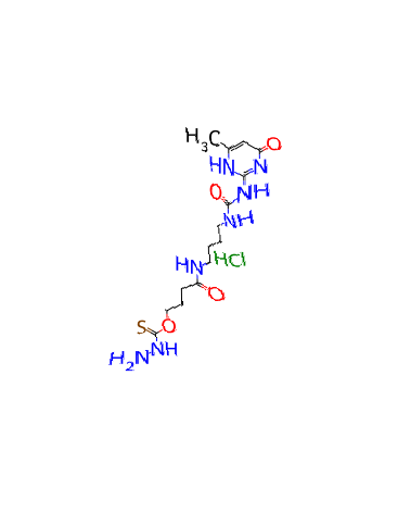 Cc1cc(=O)nc(NC(=O)NCCCCNC(=O)CCCOC(=S)NN)[nH]1.Cl